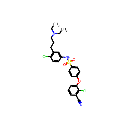 CCN(CC)CCCc1cc(NS(=O)(=O)c2ccc(Oc3cccc(C#N)c3Cl)cc2)ccc1Cl